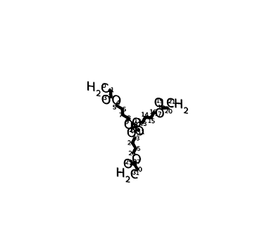 C=CC(=O)OCCCCOP(=O)(OCCCCOC(=O)C=C)OCCCCOC(=O)C=C